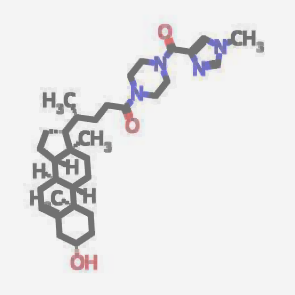 C[C@H](CCC(=O)N1CCN(C(=O)c2cn(C)cn2)CC1)[C@H]1CC[C@H]2[C@@H]3CC=C4C[C@@H](O)CC[C@]4(C)[C@H]3CC[C@]12C